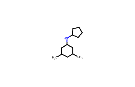 CC1CC(C)CC(NC2CCCC2)C1